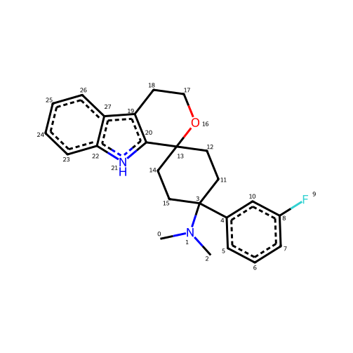 CN(C)C1(c2cccc(F)c2)CCC2(CC1)OCCc1c2[nH]c2ccccc12